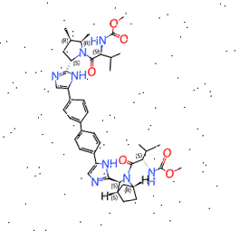 COC(=O)N[C@H](C(=O)N1[C@@H]2CC[C@@H](C2)[C@H]1c1ncc(-c2ccc(-c3ccc(-c4cnc([C@@H]5C[C@@H](C)[C@@H](C)N5C(=O)[C@@H](NC(=O)OC)C(C)C)[nH]4)cc3)cc2)[nH]1)C(C)C